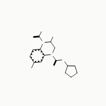 CC(=O)N1c2ccc(Br)cc2N(C(=O)OC2CCCC2)CC1C